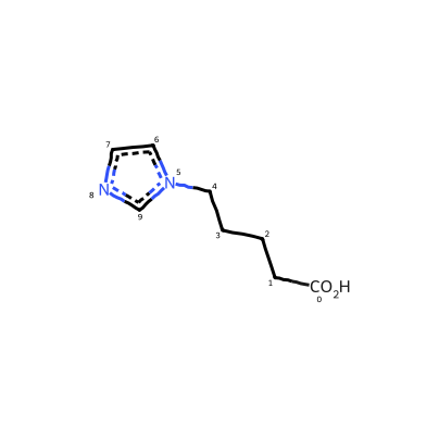 O=C(O)CCCCn1ccnc1